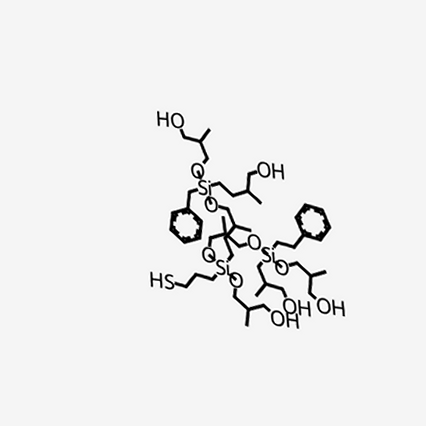 CC(CO)CC[Si](Cc1ccccc1)(OCC(C)CO)OCC(C)CC[Si](CCCS)(OCC(C)CO)OCC(C)CO[Si](CCc1ccccc1)(CC(C)CO)OCC(C)CO